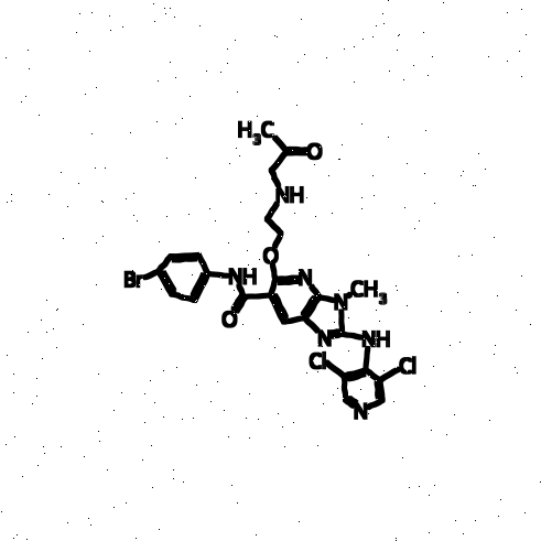 CC(=O)CNCCOc1nc2c(cc1C(=O)Nc1ccc(Br)cc1)nc(Nc1c(Cl)cncc1Cl)n2C